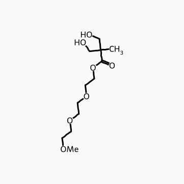 COCCOCCOCCOC(=O)C(C)(CO)CO